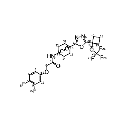 O=C(COc1ccc(F)c(F)c1)NC12CCC(c3nnc(C4(OC(F)(F)F)CCC4)o3)(CC1)OC2